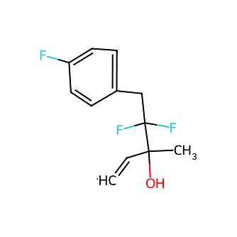 [CH]=CC(C)(O)C(F)(F)Cc1ccc(F)cc1